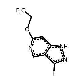 FC(F)(F)COc1cc2[nH]nc(I)c2cn1